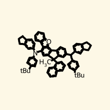 CC(C)(C)c1ccc(C(c2ccc3c(c2)CCC3)c2ccc3c(c2)C(C)(c2cccc4ccccc24)c2cc(N(c4ccc(C(C)(C)C)cc4)c4ccc5c(c4)CCC5)c4c(oc5ccccc54)c2-3)cc1